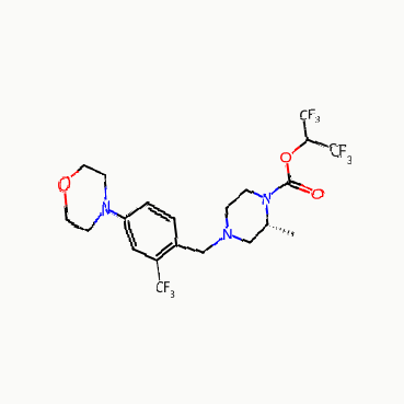 C[C@@H]1CN(Cc2ccc(N3CCOCC3)cc2C(F)(F)F)CCN1C(=O)OC(C(F)(F)F)C(F)(F)F